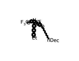 CCCCCCCCCCCCCCCCCCCCOc1ccc(S(=O)(=O)c2cnc3ccc(OC(F)(F)F)cc3c2N2CCC(N3CCN(C4CCN(CC)CC4)CC3)CC2)c(F)c1